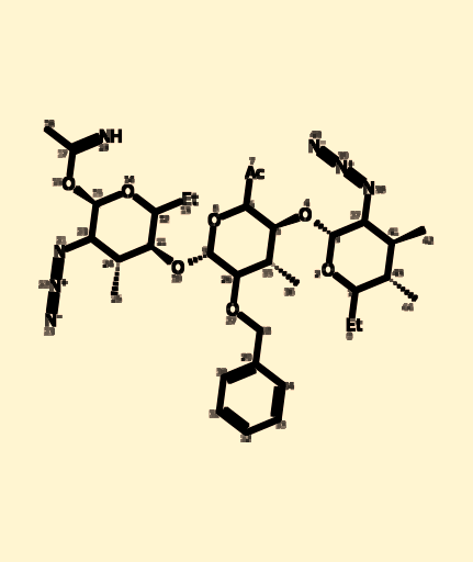 CCC1O[C@H](O[C@@H]2C(C(C)=O)O[C@@H](O[C@@H]3C(CC)O[C@H](OC(C)=N)C(N=[N+]=[N-])[C@H]3C)C(OCc3ccccc3)[C@H]2C)C(N=[N+]=[N-])[C@@H](C)[C@@H]1C